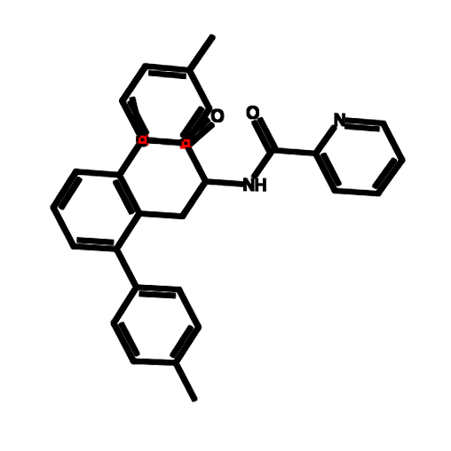 COC(=O)C(Cc1c(-c2ccc(C)cc2)cccc1-c1ccc(C)cc1)NC(=O)c1ccccn1